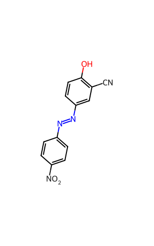 N#Cc1cc(N=Nc2ccc([N+](=O)[O-])cc2)ccc1O